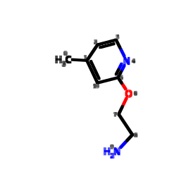 Cc1ccnc(OCCN)c1